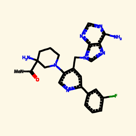 CNC(=O)C1(N)CCCN(c2cnc(-c3cccc(F)c3)cc2Cn2cnc3c(N)ncnc32)C1